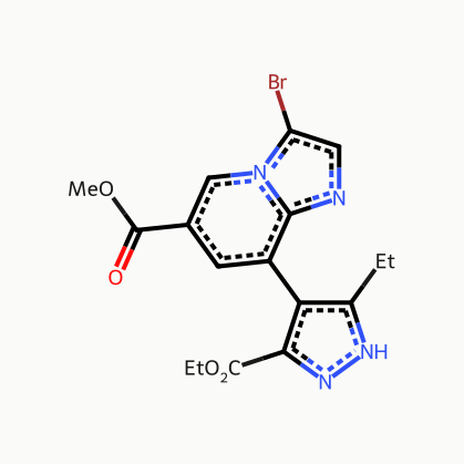 CCOC(=O)c1n[nH]c(CC)c1-c1cc(C(=O)OC)cn2c(Br)cnc12